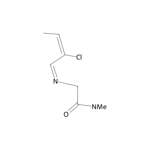 C/C=C(Cl)\C=N/CC(=O)NC